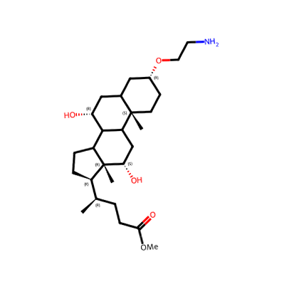 COC(=O)CC[C@@H](C)[C@H]1CCC2C3C(C[C@H](O)[C@@]21C)[C@@]1(C)CC[C@@H](OCCN)CC1C[C@H]3O